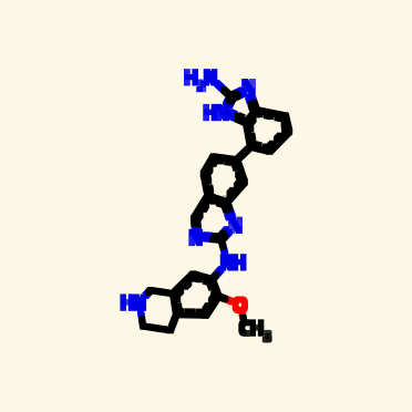 COc1cc2c(cc1Nc1ncc3ccc(-c4cccc5nc(N)[nH]c45)cc3n1)CNCC2